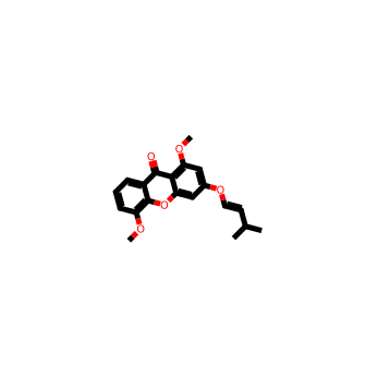 COc1cccc2c(=O)c3c(OC)cc(OC=CC(C)C)cc3oc12